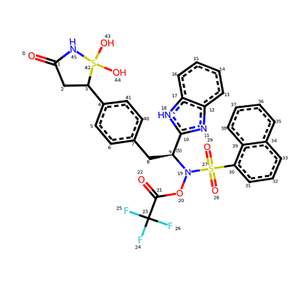 O=C1CC(c2ccc(C[C@@H](c3nc4ccccc4[nH]3)N(OC(=O)C(F)(F)F)S(=O)(=O)c3cccc4ccccc34)cc2)S(O)(O)N1